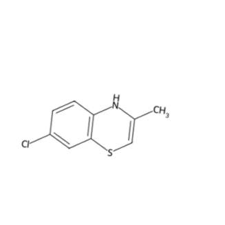 CC1=CSc2cc(Cl)ccc2N1